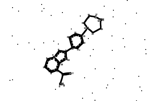 NC(=O)c1cccn2cc(-c3ccc(N4CCCNCC4)cc3)nc12